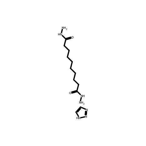 NNC(=O)CCCCCCCCC(=O)NN.c1c[nH]nn1